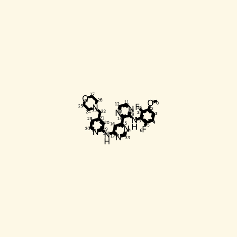 COc1ccc(F)c(Nc2nccnc2-c2cc(Nc3cc(CN4CCOCC4)ccn3)ncn2)c1F